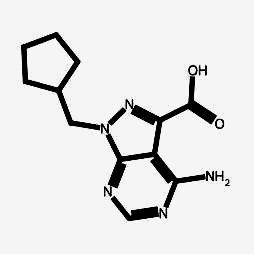 Nc1ncnc2c1c(C(=O)O)nn2CC1CCCC1